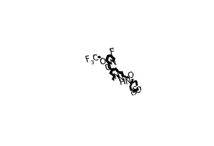 Cc1cc(Oc2ncc(F)cc2OCC(F)(F)F)cc2cc(C(=O)NC3(C)CCS(=O)(=O)CC3)nn12